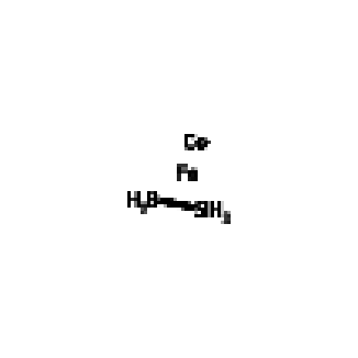 B[SiH3].[Co].[Fe]